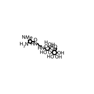 CNC1CC(N)CC1C(=O)NCCCNC(O)C(O)C(OC1CC(CO)C(O)C(O)C1O)C(O)CO